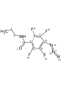 CCCNC(=O)c1c(F)c(F)c(N=[N+]=[N-])c(F)c1F